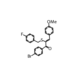 COc1ccc(C=C(SCc2ccc(F)cc2)C(=O)c2ccc(Br)cc2)cc1